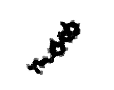 Cc1cccn2cc(-c3ccc(OCCCN(C)C)cc3)nc12